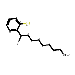 CCCCCCCCCCCCCCCCCC(CC)c1ccccc1S